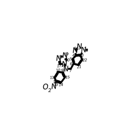 Cn1nnc2cc(CN(c3ccc([N+](=O)[O-])cc3)n3cnnc3)ccc21